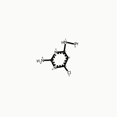 CC(C)Nc1cc(Cl)nc(N)n1